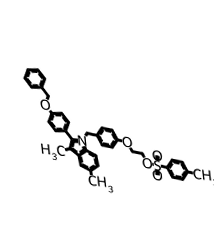 Cc1ccc(S(=O)(=O)OCCOc2ccc(Cn3c(-c4ccc(OCc5ccccc5)cc4)c(C)c4cc(C)ccc43)cc2)cc1